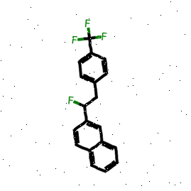 FC(Cc1ccc(C(F)(F)F)cc1)c1ccc2ccccc2c1